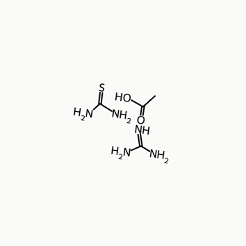 CC(=O)O.N=C(N)N.NC(N)=S